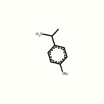 CC([SiH3])c1ccc(C(C)(C)C)cc1